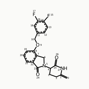 C=C1CCC(N2Cc3c(OCc4ccc(F)c(F)c4)cccc3C2=O)C(=O)N1